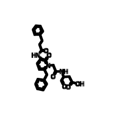 O=CC(CC(=O)O)NC(=O)Cn1c(Cc2ccccc2)ccc(NC(=O)CCc2ccccc2)c1=O